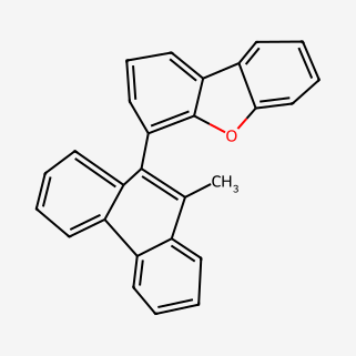 Cc1c(-c2cccc3c2oc2ccccc23)c2ccccc2c2ccccc12